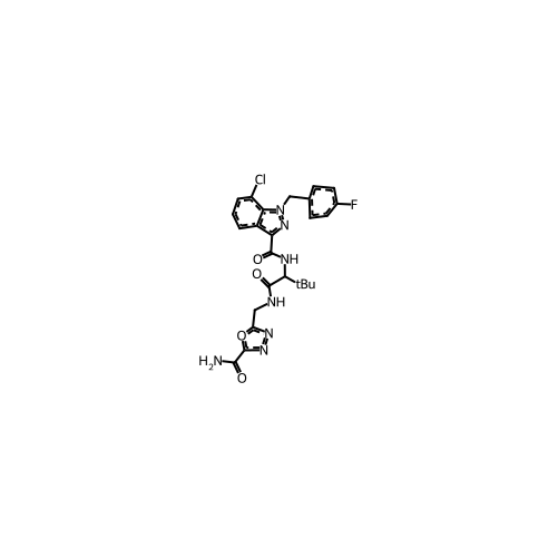 CC(C)(C)C(NC(=O)c1nn(Cc2ccc(F)cc2)c2c(Cl)cccc12)C(=O)NCc1nnc(C(N)=O)o1